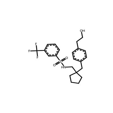 O=S(=O)(NCC1(Cc2ccc(CCO)cc2)CCCC1)c1cccc(C(F)(F)F)c1